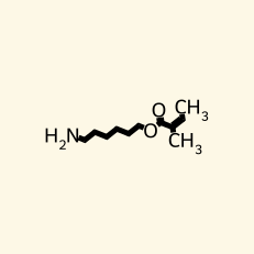 CC=C(C)C(=O)OCCCCCCN